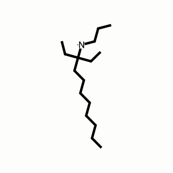 CCCCCCCCC(CC)(CC)[N]CCC